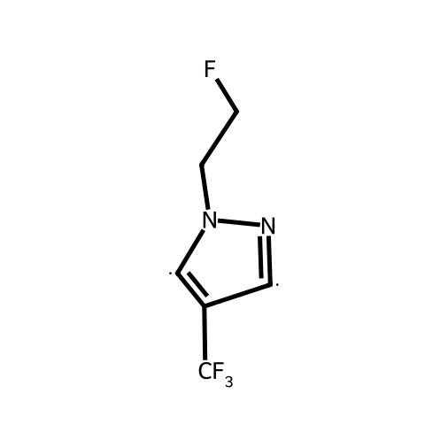 FCCn1[c]c(C(F)(F)F)[c]n1